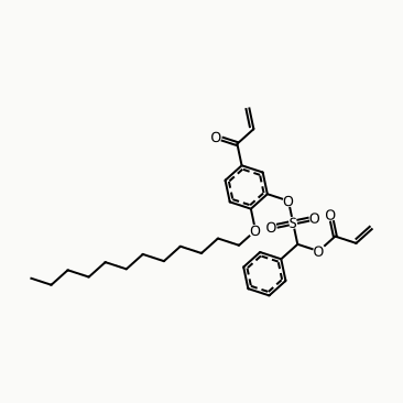 C=CC(=O)OC(c1ccccc1)S(=O)(=O)Oc1cc(C(=O)C=C)ccc1OCCCCCCCCCCCC